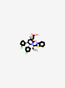 CC[C@H](c1nc2ccccc2s1)N1C(=O)[C@@](C)(CC(=O)O)C[C@H](c2cccc(Cl)c2)[C@H]1c1ccc(Cl)cc1